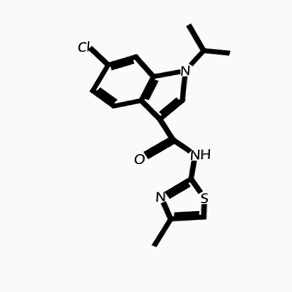 Cc1csc(NC(=O)c2cn(C(C)C)c3cc(Cl)ccc23)n1